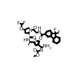 COC(=O)/N=C(/N)c1csc([C@@H](C)NC(=O)[C@@H]2C[C@@H](OC(F)F)CN2C(=O)CNC(=O)c2ccc3c(c2)-c2ccccc2C3(F)F)c1